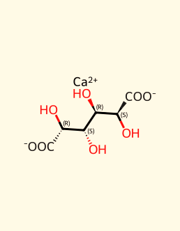 O=C([O-])[C@@H](O)[C@H](O)[C@H](O)[C@@H](O)C(=O)[O-].[Ca+2]